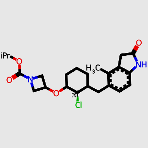 Cc1c(CC2CCCC(OC3CN(C(=O)OC(C)C)C3)[C@@H]2Cl)ccc2c1CC(=O)N2